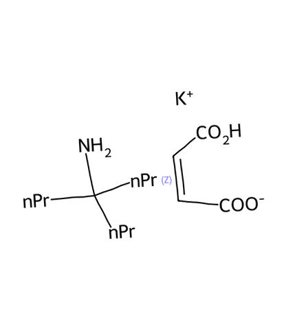 CCCC(N)(CCC)CCC.O=C([O-])/C=C\C(=O)O.[K+]